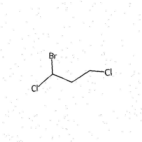 ClCCC(Cl)Br